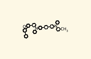 CC1C=CC=C(N(C2=CCC(C3C=CC(c4ccc(N(C5=CC=CC(c6ccc7oc8ccc(-c9ccccc9)cc8c7c6)C5)c5ccccc5)cc4)CC3)C=C2)c2ccccc2)C1